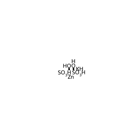 O=S(=O)(O)O.O=S(=O)(O)O.[KH].[Zn]